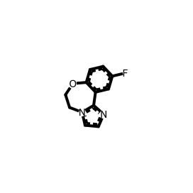 Fc1ccc2c(c1)-c1nccn1CCO2